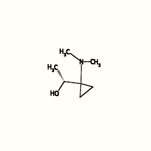 C[C@@H](O)C1(N(C)C)CC1